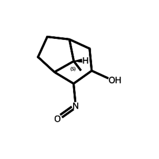 C[C@H]1C2CCC1C(N=O)C(O)C2